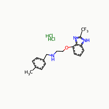 Cc1ccc(CNCCOc2cccc3[nH]c(C(F)(F)F)nc23)cc1.Cl.Cl